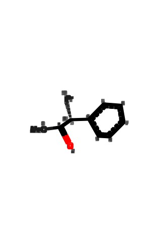 COC(=O)[C@@H](c1ccccc1)C(C)C